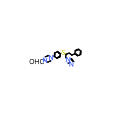 O=CN1CCN(c2ccc(SC(CCc3ccccc3)Cn3ccnc3)cc2)CC1